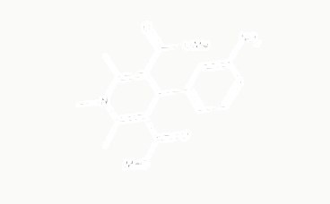 COC(=O)C1=C(C)N(C)C(C)=C(C(=O)OC)C1c1cccc([N+](=O)[O-])c1